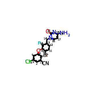 N#Cc1cc(Cl)cc(Oc2c(Br)ccc(Cn3ccc(N)nc3=O)c2F)c1